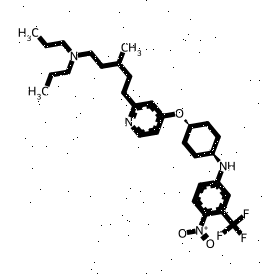 CCCN(CCC)CCC(C)CCc1cc(O[C@H]2CC[C@H](Nc3ccc([N+](=O)[O-])c(C(F)(F)F)c3)CC2)ccn1